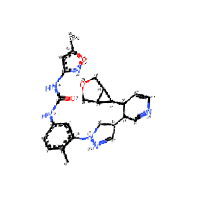 Cc1ccc(NC(=O)Nc2cc(C(C)(C)C)on2)cc1N1CC(C2C=NC=CC2C2C3COCC32)C=N1